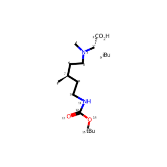 CC[C@H](C)[C@@H](C(=O)O)N(C)CC[C@H](C)CCNC(=O)OC(C)(C)C